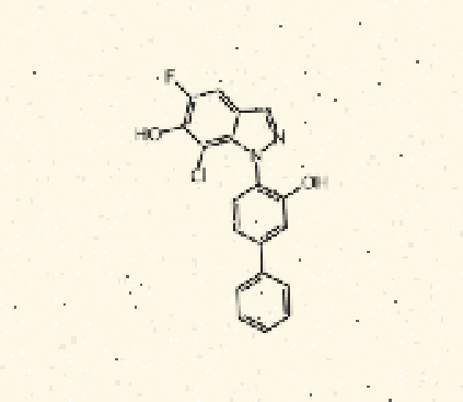 Oc1cc(-c2ccccc2)ccc1-n1ncc2cc(F)c(O)c(Cl)c21